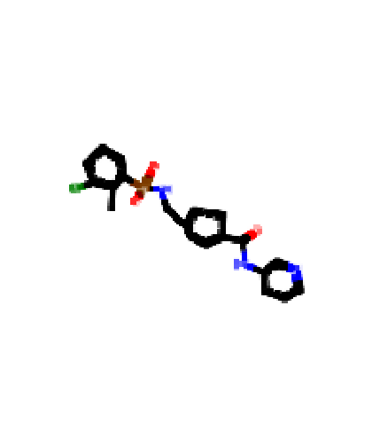 Cc1c(Cl)cccc1S(=O)(=O)NCc1ccc(C(=O)Nc2cccnc2)cc1